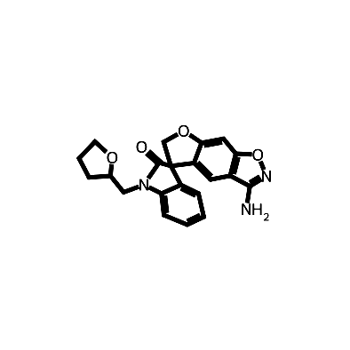 Nc1noc2cc3c(cc12)C1(CO3)C(=O)N(CC2CCCO2)c2ccccc21